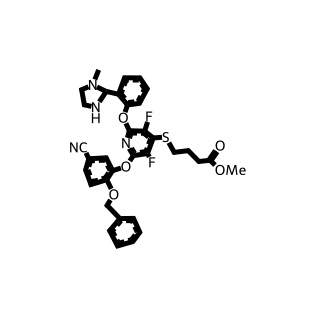 COC(=O)CCCSc1c(F)c(Oc2cc(C#N)ccc2OCc2ccccc2)nc(Oc2ccccc2C2NCCN2C)c1F